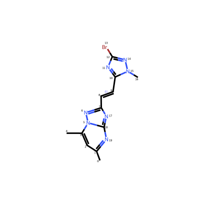 Cc1cc(C)n2nc(/C=C/c3nc(Br)nn3C)nc2n1